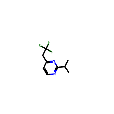 CC(C)c1n[c]cc(CC(F)(F)F)n1